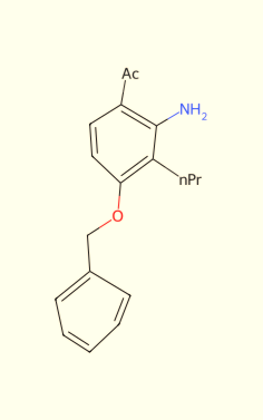 CCCc1c(OCc2ccccc2)ccc(C(C)=O)c1N